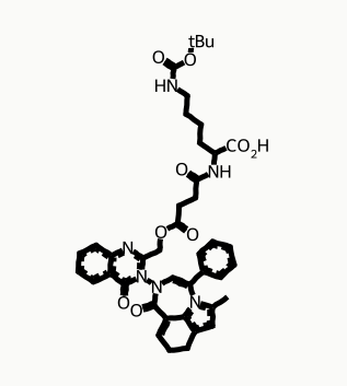 Cc1cc2c3n1C(c1ccccc1)=CN(n1c(COC(=O)CCC(=O)NC(CCCCNC(=O)OC(C)(C)C)C(=O)O)nc4ccccc4c1=O)C(=O)C3=CCC2